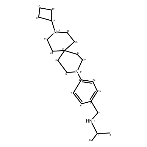 CC(C)NCc1ccc(N2CCC3(CC2)CCN(C2CCC2)CC3)cc1